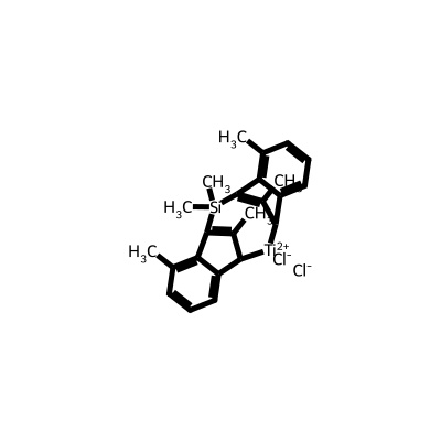 CC1=C2c3c(C)cccc3[CH]1[Ti+2][CH]1C(C)=C(c3c(C)cccc31)[Si]2(C)C.[Cl-].[Cl-]